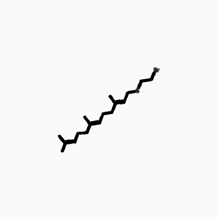 CC(C)=CCC/C(C)=C/CC/C(C)=C/CSCCBr